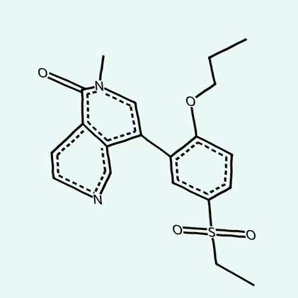 CCCOc1ccc(S(=O)(=O)CC)cc1-c1cn(C)c(=O)c2ccncc12